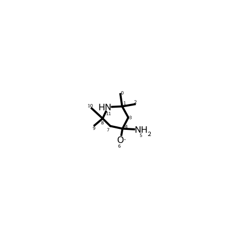 CC1(C)CC(N)([O])CC(C)(C)N1